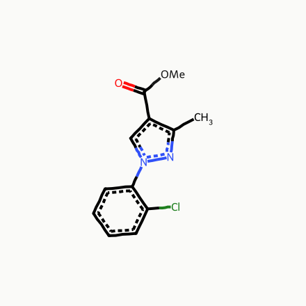 COC(=O)c1cn(-c2ccccc2Cl)nc1C